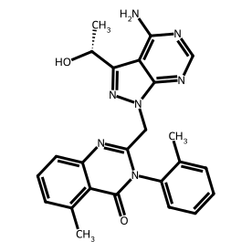 Cc1ccccc1-n1c(Cn2nc([C@@H](C)O)c3c(N)ncnc32)nc2cccc(C)c2c1=O